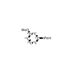 CCCCC[13CH]1[13CH2][13CH]=[13CH][13CH](OC)[13CH2]1